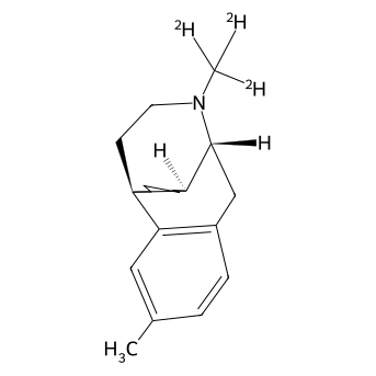 [2H]C([2H])([2H])N1CC[C@]23CCCC[C@@H]2[C@H]1Cc1ccc(C)cc13